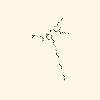 CCCCCCCCCCCCCCCCSc1nc(NCCCN(C)C)nc(SC(CCCCCC)CC(=O)OCCC)n1